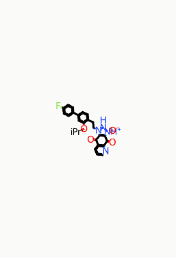 CC(C)Oc1cc(-c2ccc(F)cc2)ccc1CCN1N[NH+]([O-])C2=C1C(=O)c1cccnc1C2=O